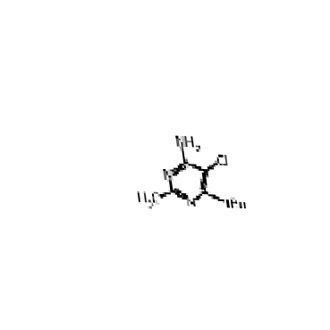 Cc1nc(N)c(Cl)c(C(C)(C)C)n1